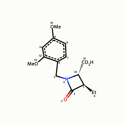 CC[C@H]1C(=O)N(Cc2ccc(OC)cc2OC)[C@@H]1C(=O)O